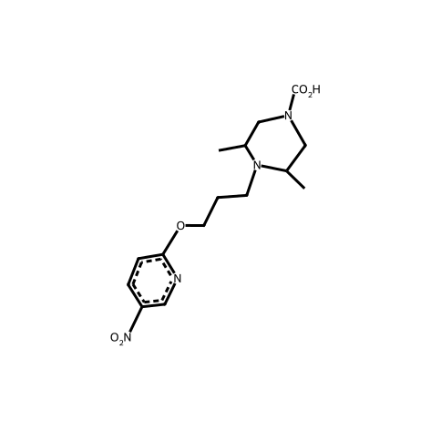 CC1CN(C(=O)O)CC(C)N1CCCOc1ccc([N+](=O)[O-])cn1